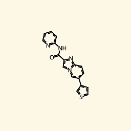 O=C(Nc1ccccn1)c1cn2cc(-c3ccsc3)ccc2n1